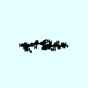 COc1cc(C(C)OC(=O)NCCNC(=O)CNC(=O)CCC2(C)N=N2)c([N+](=O)[O-])cc1OCCCC(=O)NCc1ccc(COc2nc(N)nc3[nH]cnc23)cc1